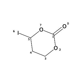 O=C1OCCC(I)O1